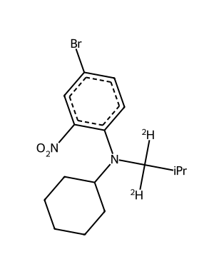 [2H]C([2H])(C(C)C)N(c1ccc(Br)cc1[N+](=O)[O-])C1CCCCC1